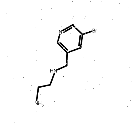 NCCNCc1cncc(Br)c1